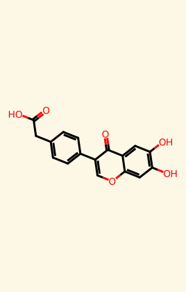 O=C(O)Cc1ccc(-c2coc3cc(O)c(O)cc3c2=O)cc1